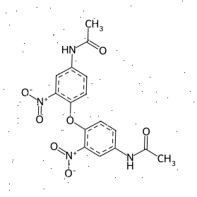 CC(=O)Nc1ccc(Oc2ccc(NC(C)=O)cc2[N+](=O)[O-])c([N+](=O)[O-])c1